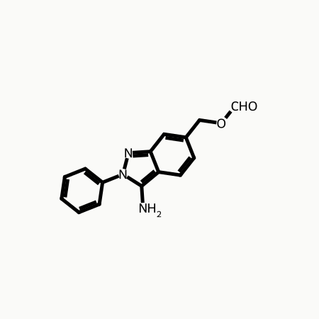 Nc1c2ccc(COC=O)cc2nn1-c1ccccc1